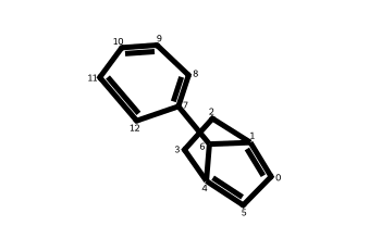 C1=C2CCC(=C1)C2c1ccccc1